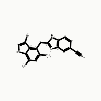 Cc1cc(C)c2[nH]cc(Br)c2c1Cc1nc2cc(C#N)ccc2[nH]1